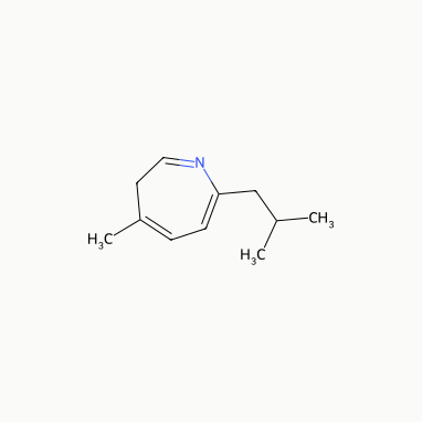 CC1=CC=C(CC(C)C)N=CC1